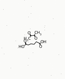 CC(=O)C(C)=O.O=C(O)CCCCC(=O)O